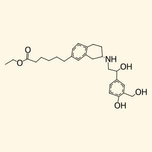 CCOC(=O)CCCCCc1ccc2c(c1)C[C@@H](NCC(O)c1ccc(O)c(CO)c1)CC2